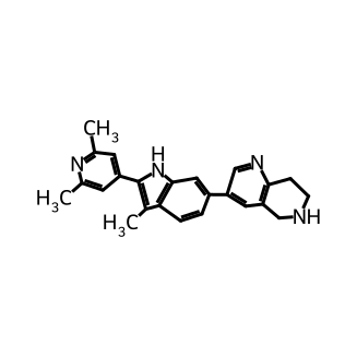 Cc1cc(-c2[nH]c3cc(-c4cnc5c(c4)CNCC5)ccc3c2C)cc(C)n1